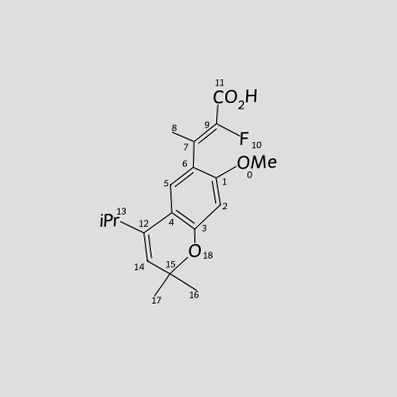 COc1cc2c(cc1C(C)=C(F)C(=O)O)C(C(C)C)=CC(C)(C)O2